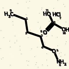 CCCCCON.Cl.O=C(O)O